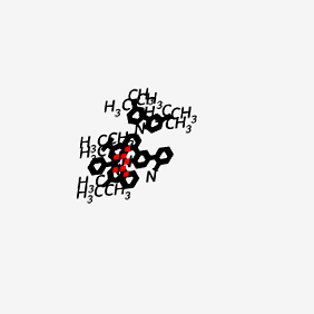 CC(C)(C)c1ccc2c(c1)c1cc(C(C)(C)C)ccc1n2-c1ccc(-c2nc(-c3ccccc3)nc(-c3ccccc3)n2)c(-c2cc(-c3ccccc3C#N)ccc2-n2c3ccc(C(C)(C)C)cc3c3cc(C(C)(C)C)ccc32)c1